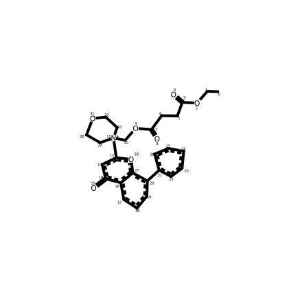 CCOC(=O)CCC(=O)OC[N+]1(c2cc(=O)c3cccc(-c4ccccc4)c3o2)CCOCC1